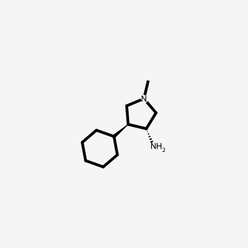 CN1C[C@H](C2CCCCC2)[C@@H](N)C1